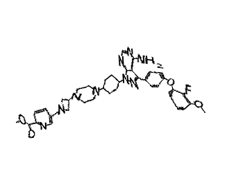 COC(=O)c1ccc(N2CC(N3CCN(C4CCC(n5nc(-c6ccc(Oc7cccc(OC)c7F)cc6)c6c(N)ncnc65)CC4)CC3)C2)cn1